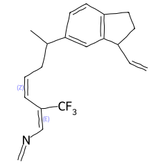 C=CC1CCc2ccc(C(C)C/C=C\C(=C/N=C)C(F)(F)F)cc21